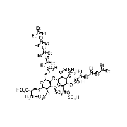 CCN(CC)CC.CCN(CC)CC.CCN(CC)CC.CCN(CC)CC.CCN(CC)CC.CCN(CC)CC.CCN(CC)CC.N[C@@H](CS[C@@H]1O[C@H](COS(=O)(=O)O)[C@@H](O[C@H]2O[C@H](COS(=O)(=O)O)[C@@H](OS(=O)(=O)O)[C@H](OS(=O)(=O)O)[C@H]2OS(=O)(=O)O)[C@H](OS(=O)(=O)O)[C@H]1OS(=O)(=O)O)C(=O)O